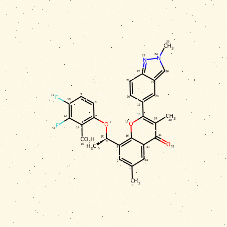 Cc1cc([C@@H](C)Oc2ccc(F)c(F)c2C(=O)O)c2oc(-c3ccc4nn(C)cc4c3)c(C)c(=O)c2c1